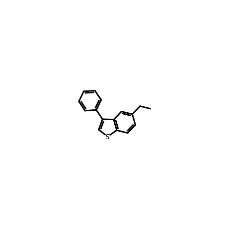 CCc1ccc2scc(-c3ccccc3)c2c1